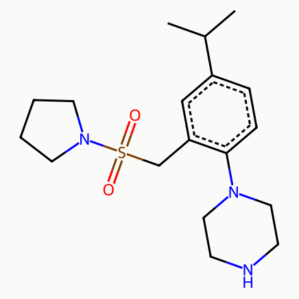 CC(C)c1ccc(N2CCNCC2)c(CS(=O)(=O)N2CCCC2)c1